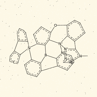 Cn1c2[n+](c3ccccc31)[N+]13c4c(cccc4-2)Oc2ccc4c(c21)B1c2c(cccc2[Si]42c4ccccc4-c4ccccc42)-c2ccc[n+]3c21